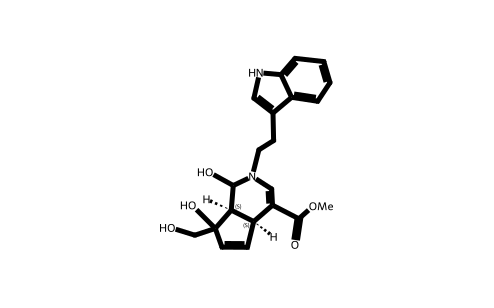 COC(=O)C1=CN(CCc2c[nH]c3ccccc23)C(O)[C@H]2[C@@H]1C=CC2(O)CO